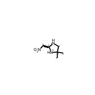 CC1(C)CN/C(=C/[N+](=O)[O-])N1